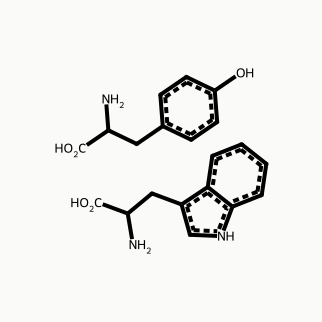 NC(Cc1c[nH]c2ccccc12)C(=O)O.NC(Cc1ccc(O)cc1)C(=O)O